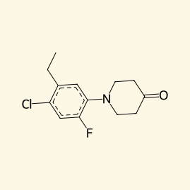 CCc1cc(N2CCC(=O)CC2)c(F)cc1Cl